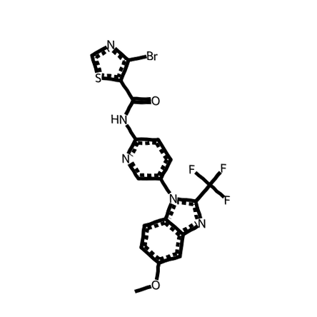 COc1ccc2c(c1)nc(C(F)(F)F)n2-c1ccc(NC(=O)c2scnc2Br)nc1